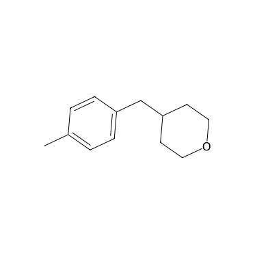 Cc1ccc(CC2CCOCC2)cc1